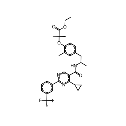 CCOC(=O)C(C)(C)Oc1ccc(CC(C)NC(=O)c2cnc(-c3cccc(C(F)(F)F)c3)nc2C2CC2)cc1C